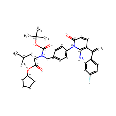 C=C(c1ccc(F)cc1)c1ccc(=O)n(-c2ccc(CN(C(=O)OC(C)(C)C)[C@@H](CC(C)C)C(=O)OC3CCCC3)cc2)c1N